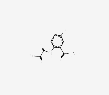 CCC(=O)C(=O)Nc1ccc(O)cc1C(=O)OC